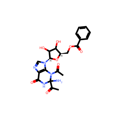 CC(=O)N1c2c(ncn2[C@@H]2O[C@H](COC(=O)c3ccccc3)C(O)C2O)C(=O)NC1(N)C(C)=O